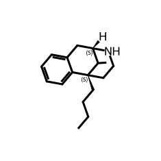 CCCC[C@@]12CCN[C@@H](Cc3ccccc31)C2C